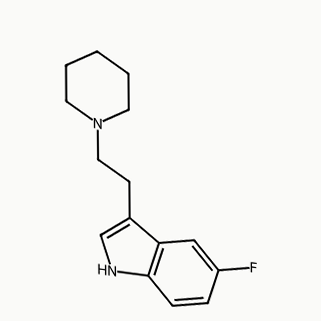 Fc1ccc2[nH]cc(CCN3CCCCC3)c2c1